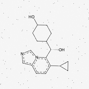 OC1CCC([C@H](O)c2c(C3CC3)ccc3cncn23)CC1